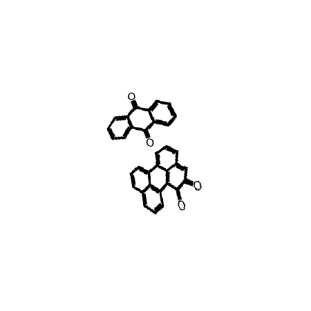 O=C1c2ccccc2C(=O)c2ccccc21.O=c1cc2cccc3c4cccc5cccc(c(c1=O)c23)c54